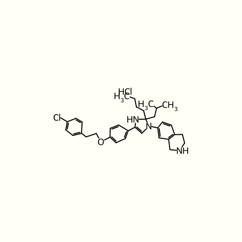 CCCCC1(CC(C)C)NC(c2ccc(OCCc3ccc(Cl)cc3)cc2)=CN1c1ccc2c(c1)CNCC2.Cl